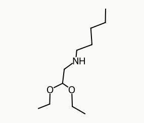 CCCCCNCC(OCC)OCC